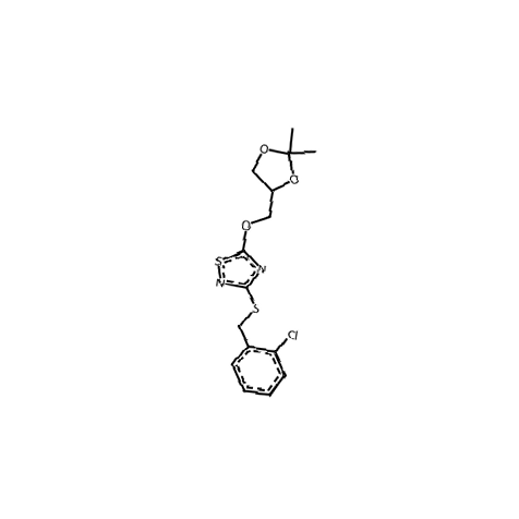 CC1(C)OCC(COc2nc(SCc3ccccc3Cl)ns2)O1